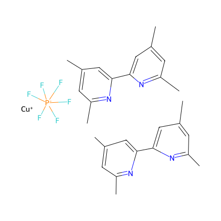 Cc1cc(C)nc(-c2cc(C)cc(C)n2)c1.Cc1cc(C)nc(-c2cc(C)cc(C)n2)c1.F[P-](F)(F)(F)(F)F.[Cu+]